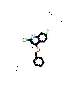 Fc1ccc2c(OCc3ccccc3)cc(Cl)nc2c1